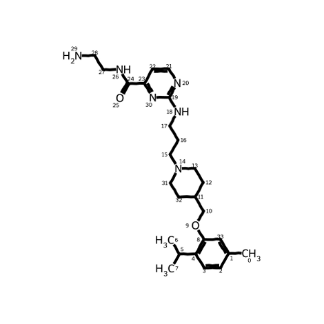 Cc1ccc(C(C)C)c(OCC2CCN(CCCNc3nccc(C(=O)NCCN)n3)CC2)c1